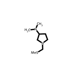 CSCN1CCC(N(C)C)C1